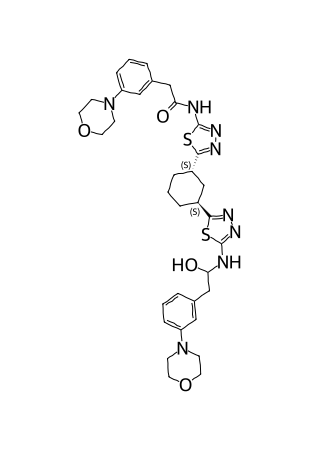 O=C(Cc1cccc(N2CCOCC2)c1)Nc1nnc([C@H]2CCC[C@H](c3nnc(NC(O)Cc4cccc(N5CCOCC5)c4)s3)C2)s1